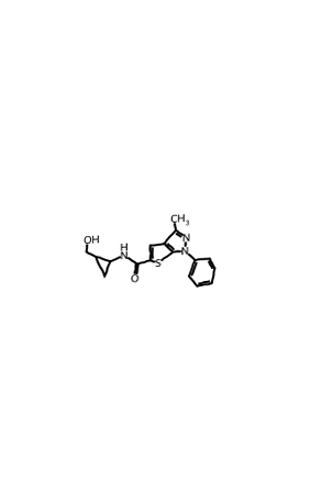 Cc1nn(-c2ccccc2)c2sc(C(=O)NC3CC3CO)cc12